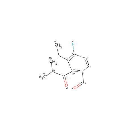 CCc1c(F)ccc(C=O)c1C(=O)C(C)C